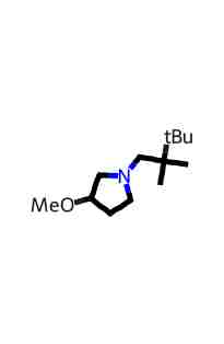 COC1CCN(CC(C)(C)C(C)(C)C)C1